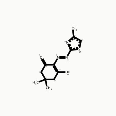 CC1(C)CC(=O)C(N=Nc2nc(C(F)(F)F)cs2)=C(O)C1